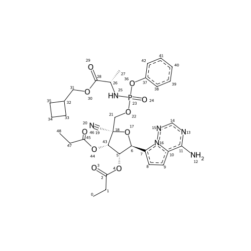 CCC(=O)O[C@H]1[C@H](c2ccc3c(N)ncnn23)O[C@](C#N)(COP(=O)(N[C@@H](C)C(=O)OCC2CCC2)Oc2ccccc2)[C@H]1OC(=O)CC